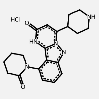 Cl.O=C1CCCCN1c1cccc2nn3c(C4CCNCC4)cc(=O)[nH]c3c12